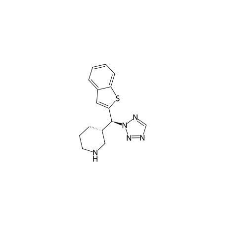 c1ccc2sc([C@H]([C@H]3CCCNC3)n3ncnn3)cc2c1